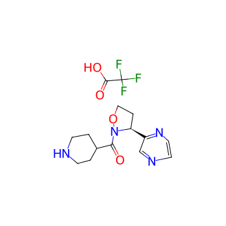 O=C(C1CCNCC1)N1OCC[C@H]1c1cnccn1.O=C(O)C(F)(F)F